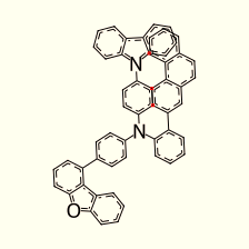 c1ccc(N(c2ccc(-c3cccc4oc5ccccc5c34)cc2)c2ccc(-n3c4ccccc4c4ccccc43)cc2)c(-c2ccc3c(ccc4ccccc43)c2)c1